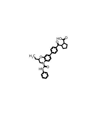 CCC1CN(C(=O)Nc2ccccc2)c2ccc(-c3ccc(C(=O)C4CCCC4C(=O)O)cc3)cc2O1